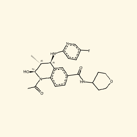 CC(=O)N1c2ccc(C(=O)NC3CCOCC3)cc2[C@H](Nc2ccc(F)cn2)[C@@H](C)[C@@H]1O